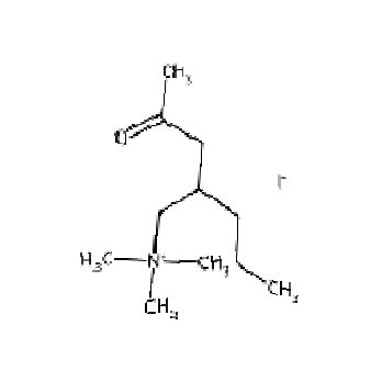 CCCC(CC(C)=O)C[N+](C)(C)C.[I-]